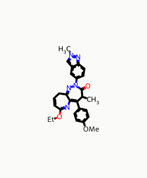 CCOC1=NC2=C(c3ccc(OC)cc3)C(C)C(=O)N(c3ccc4nn(C)cc4c3)N=C2CC=C1